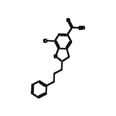 O=C(O)c1cc(Cl)c2c(c1)CC(CCCc1ccccc1)O2